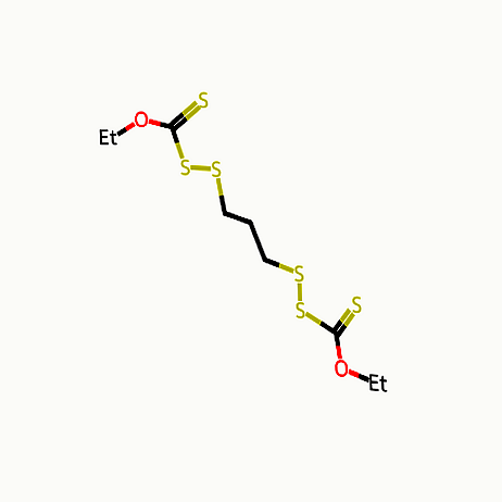 CCOC(=S)SSCCCSSC(=S)OCC